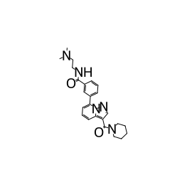 CN(C)CCNC(=O)c1cccc(-c2cccc3c(C(=O)N4CCCCC4)cnn23)c1